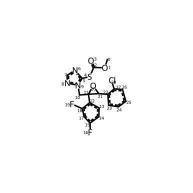 COC(=O)Sc1ncnn1CC1(c2ccc(F)cc2F)OC1c1ccccc1Cl